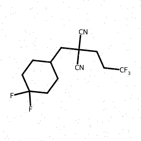 N#CC(C#N)(CCC(F)(F)F)CC1CCC(F)(F)CC1